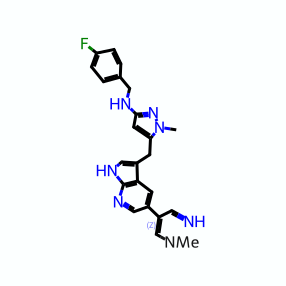 CN/C=C(\C=N)c1cnc2[nH]cc(Cc3cc(NCc4ccc(F)cc4)nn3C)c2c1